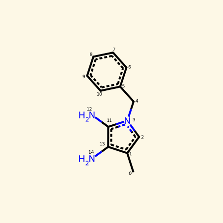 Cc1cn(Cc2ccccc2)c(N)c1N